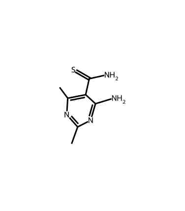 Cc1nc(C)c(C(N)=S)c(N)n1